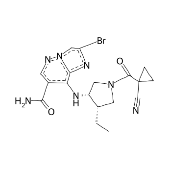 CC[C@H]1CN(C(=O)C2(C#N)CC2)C[C@H]1Nc1c(C(N)=O)cnn2cc(Br)nc12